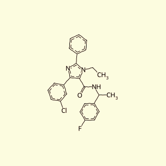 CCn1c(-c2ccccc2)nc(-c2cccc(Cl)c2)c1C(=O)NC(C)c1ccc(F)cc1